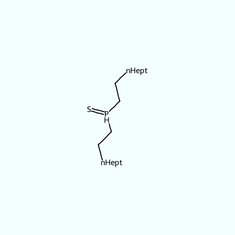 CCCCCCCCC[PH](=S)CCCCCCCCC